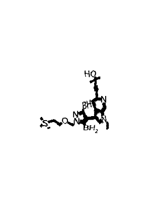 Bc1nn(COCCS(C)(C)C)c(B)c1-c1cn(CC)c2cnc(C#CC(C)(C)O)cc12